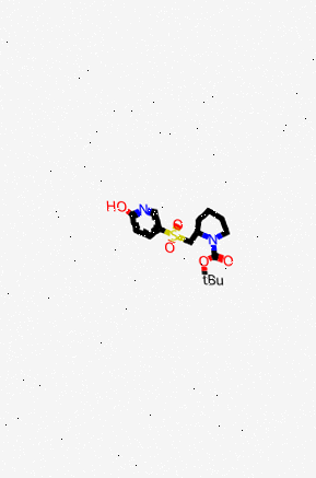 CC(C)(C)OC(=O)N1CCCCC1CS(=O)(=O)c1ccc(O)nc1